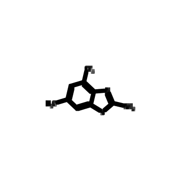 Cc1cc(C(F)(F)F)c2nc(N)sc2c1